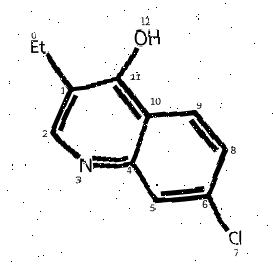 [CH2]Cc1cnc2cc(Cl)ccc2c1O